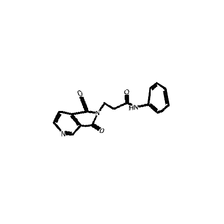 O=C(CCN1C(=O)c2ccncc2C1=O)Nc1ccccc1